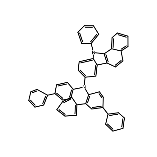 c1ccc(-c2ccc(N(c3ccc4c(c3)c3ccc5ccccc5c3n4-c3ccccc3)c3ccc(-c4ccccc4)cc3-c3ccccc3)cc2)cc1